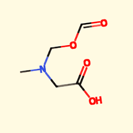 CN(COC=O)CC(=O)O